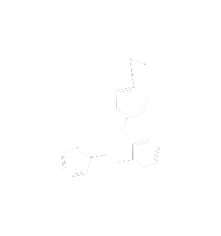 c1ccc(COc2ccccc2Cc2ccc(C3CC3)cc2)cc1